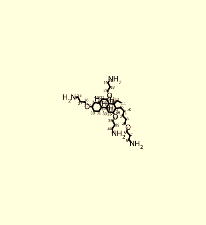 C[C@H](CCCOCCCN)[C@H]1CC[C@H]2[C@@H]3[C@H](OCCCN)C[C@@H]4C[C@H](OCCCN)CC[C@]4(C)[C@H]3C[C@H](OCCCN)[C@]12C